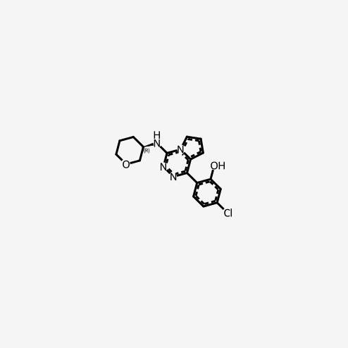 Oc1cc(Cl)ccc1-c1nnc(N[C@@H]2CCCOC2)n2cccc12